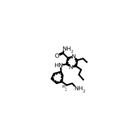 CCCc1nc(Nc2cccc([C@@H](C)CN)c2)c(C(N)=O)nc1CC